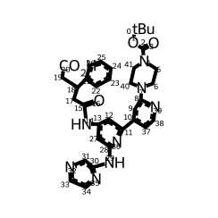 CC(C)(C)OC(=O)N1CCN(c2cc(-c3cc(NC(=O)CC(CC(=O)O)c4ccccc4)cc(Nc4cnccn4)n3)ccn2)CC1